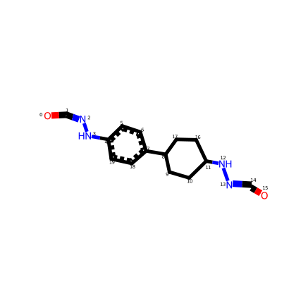 O=C=NNc1ccc(C2CCC(NN=C=O)CC2)cc1